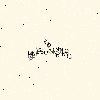 CC(C)(CNC(=O)C(F)(F)F)SSCOC1C[C@H](n2cnc3c(NC(=O)c4ccccc4)ncnc32)O[C@@H]1CO[Si](C)(C)C(C)(C)C